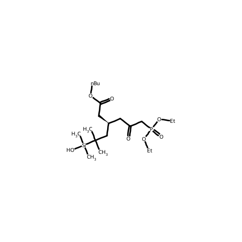 CCCCOC(=O)C[C@@H](CC(=O)CP(=O)(OCC)OCC)CC(C)(C)[Si](C)(C)O